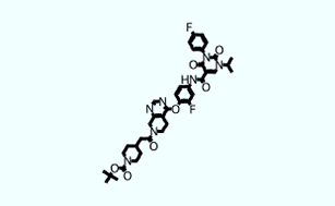 CC(C)n1cc(C(=O)Nc2ccc(Oc3ncnc4c3CCN(C(=O)CC3CCN(C(=O)OC(C)(C)C)CC3)C4)c(F)c2)c(=O)n(-c2ccc(F)cc2)c1=O